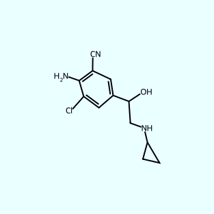 N#Cc1cc(C(O)CNC2CC2)cc(Cl)c1N